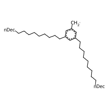 [CH2]c1cc(CCCCCCCCCCCCCCCCCCC)cc(CCCCCCCCCCCCCCCCCCC)c1